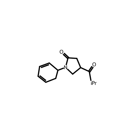 CC(C)C(=O)C1CC(=O)N(C2C=CC=CC2)C1